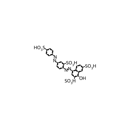 O=S(=O)(O)c1ccc(N=Nc2ccc(N=Nc3cc(S(=O)(=O)O)c(O)c4cc(S(=O)(=O)O)ccc34)c(S(=O)(=O)O)c2)cc1